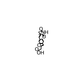 O=C(O)Cc1cc2ccc(/C=C3/SC(=O)NC3=O)cc2o1